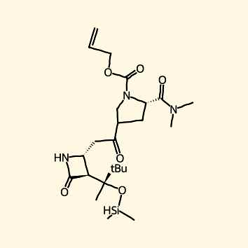 C=CCOC(=O)N1CC(C(=O)C[C@H]2NC(=O)[C@@H]2[C@@](C)(O[SiH](C)C)C(C)(C)C)C[C@H]1C(=O)N(C)C